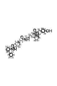 O=C(CCN1CCC(OC(=O)Nc2ccccc2-c2ccccc2)CC1)NCCCCCNC(=O)C(Cc1ccc(O)cc1)CN1CCCCC1